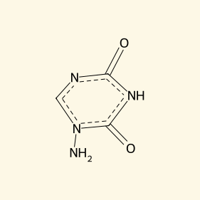 Nn1cnc(=O)[nH]c1=O